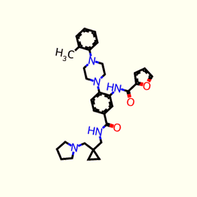 Cc1ccccc1N1CCN(c2ccc(C(=O)NCC3(CN4CCCC4)CC3)cc2NC(=O)c2ccco2)CC1